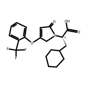 O=C(O)[C@H](CC1CCCCC1)N1CC(Oc2ccccc2C(F)(F)F)=CC1=O